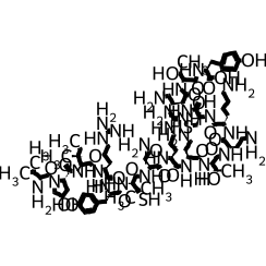 CC[C@H](C)[C@H](NC(=O)[C@@H]1C[C@@H](O)CN1C(=O)[C@@H](N)C(C)C)C(=O)N[C@@H](CCCNC(=N)N)C(=O)N[C@@H](Cc1ccc(O)cc1)C(=O)N[C@H](C(=O)N[C@@H](CC(N)=O)C(=O)N[C@@H](CCCNC(=N)N)C(=O)N[C@@H](CCN)C(=O)N[C@H](C(=O)N[C@H](CCN)C(=O)N[C@@H](CCCCN)C(=O)N[C@@H](CS)C(=O)N[C@@H](CCN)C(=O)N[C@H](C(=O)N[C@@H](Cc1ccc(O)cc1)C(=O)O)[C@@H](C)O)[C@@H](C)O)C(C)(C)S